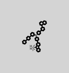 CC1(C)c2ccccc2-c2ccc(-c3ccc(N(c4ccc(-c5cccc(-c6cccc7ccccc67)c5)cc4)c4cccc(-c5ccc(-c6ccccc6)cc5)c4)cc3)cc21